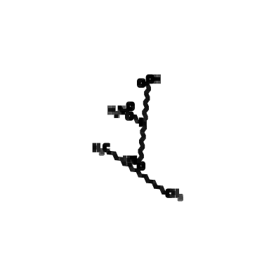 CCCCCCCCC(CCCCCCCC)OC(=N)CCCCCCCN(CCCCCCCC(=O)O)CCOC(N)=O